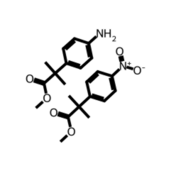 COC(=O)C(C)(C)c1ccc(N)cc1.COC(=O)C(C)(C)c1ccc([N+](=O)[O-])cc1